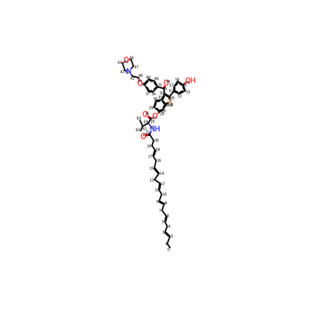 CCC=CCC=CCC=CCC=CCC=CCC=CCCC(=O)N[C@H](C(=O)Oc1ccc2c(C(=O)c3ccc(OCCN4CCOCC4)cc3)c(-c3ccc(O)cc3)sc2c1)C(C)C